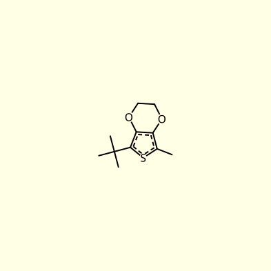 Cc1sc(C(C)(C)C)c2c1OCCO2